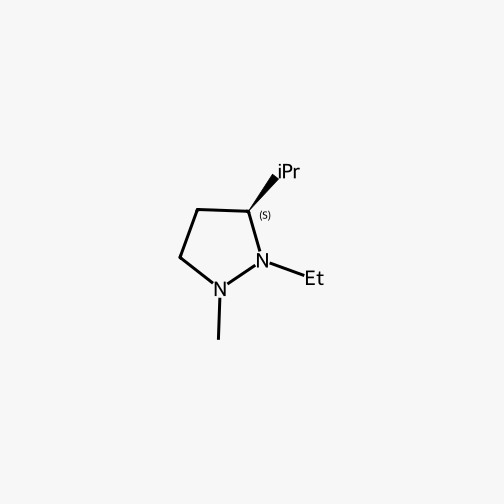 CCN1[C@H](C(C)C)CCN1C